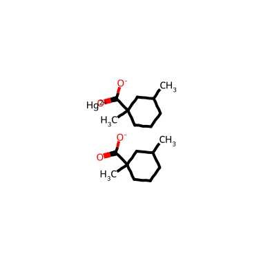 CC1CCCC(C)(C(=O)[O-])C1.CC1CCCC(C)(C(=O)[O-])C1.[Hg+2]